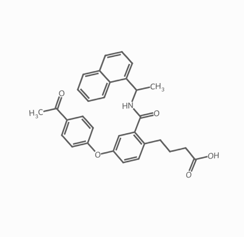 CC(=O)c1ccc(Oc2ccc(CCCC(=O)O)c(C(=O)NC(C)c3cccc4ccccc34)c2)cc1